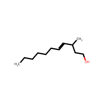 CCCCCCC=CC(C)CCO